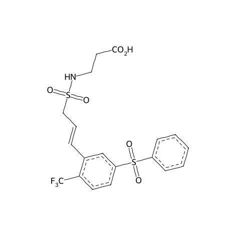 O=C(O)CCNS(=O)(=O)CC=Cc1cc(S(=O)(=O)c2ccccc2)ccc1C(F)(F)F